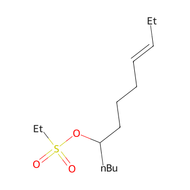 CCC=CCCCC(CCCC)OS(=O)(=O)CC